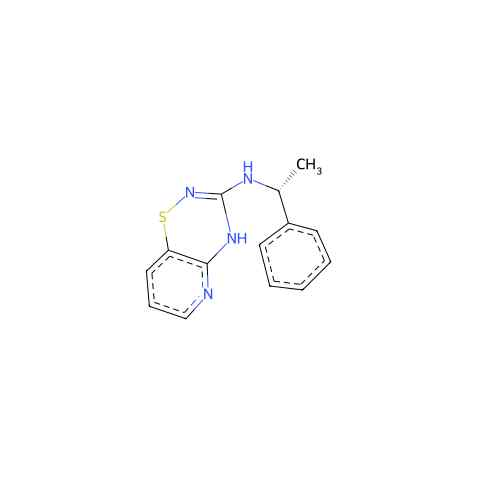 C[C@@H](NC1=NSc2cccnc2N1)c1ccccc1